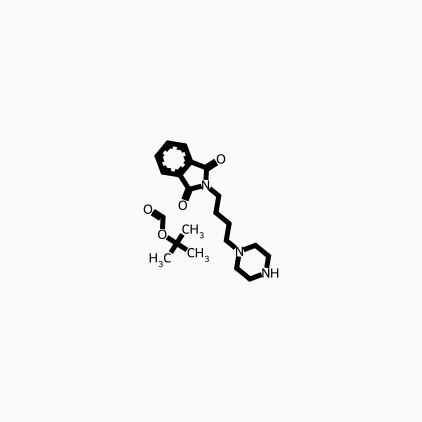 CC(C)(C)OC=O.O=C1c2ccccc2C(=O)N1CCCCN1CCNCC1